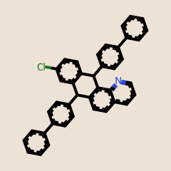 Clc1ccc2c(c1)C(c1ccc(-c3ccccc3)cc1)c1ccc3cccnc3c1C2c1ccc(-c2ccccc2)cc1